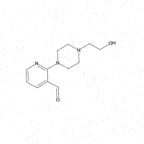 O=Cc1cccnc1N1CCN(CCO)CC1